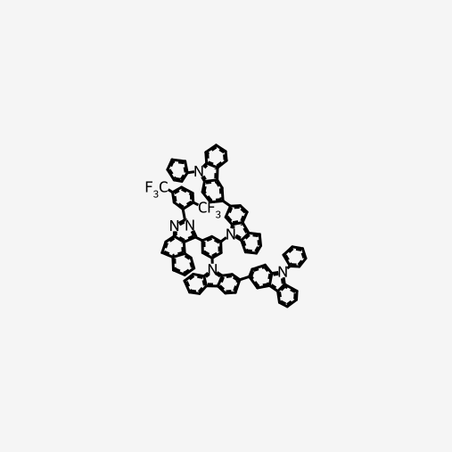 FC(F)(F)c1ccc(C(F)(F)F)c(-c2nc(-c3cc(-n4c5ccccc5c5ccc(-c6ccc7c(c6)c6ccccc6n7-c6ccccc6)cc54)cc(-n4c5ccccc5c5ccc(-c6ccc7c(c6)c6ccccc6n7-c6ccccc6)cc54)c3)c3c(ccc4ccccc43)n2)c1